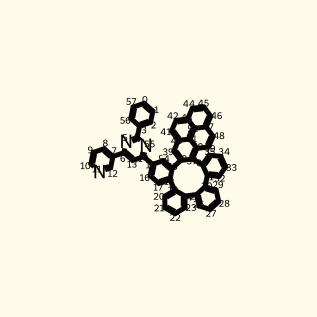 c1ccc(-c2nc(-c3cccnc3)cc(-c3ccc4c5ccccc5c5ccccc5c5ccccc5c5c(cc6ccc7cccc8ccc5c6c78)c4c3)n2)cc1